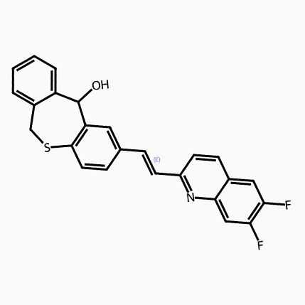 OC1c2ccccc2CSc2ccc(/C=C/c3ccc4cc(F)c(F)cc4n3)cc21